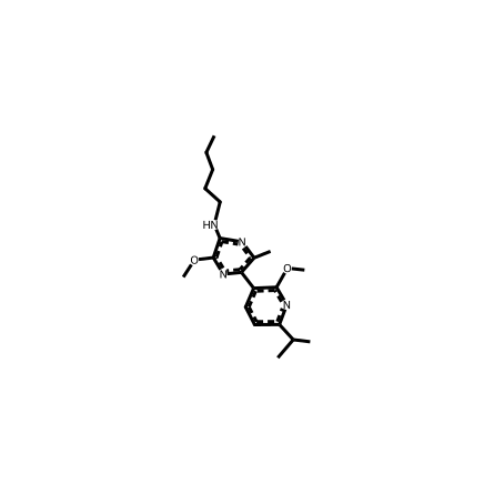 CCCCCNc1nc(C)c(-c2ccc(C(C)C)nc2OC)nc1OC